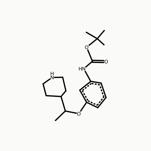 CC(Oc1cccc(NC(=O)OC(C)(C)C)c1)C1CCNCC1